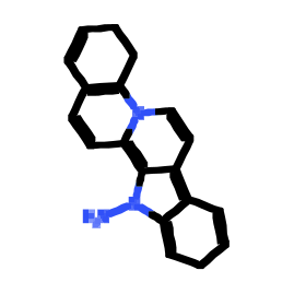 Nn1c2c(c3c1=C1C=CC4=C(CCC=C4)N1C=C3)C=CCC=2